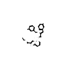 CCOC(=O)C1=CN2C(=CC=CN2NC(=O)c2cc3cc(F)ccc3n2Cc2cccc(F)c2)N1